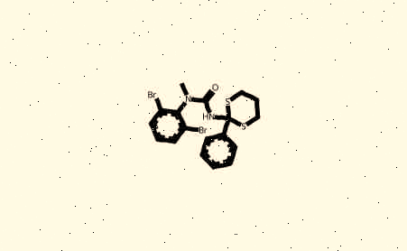 CN(C(=O)NC1(c2ccccc2)SCCCS1)c1c(Br)cccc1Br